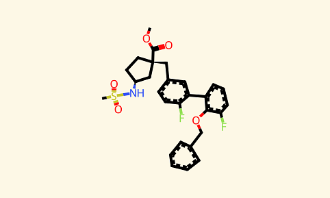 COC(=O)[C@@]1(Cc2ccc(F)c(-c3cccc(F)c3OCc3ccccc3)c2)CC[C@H](NS(C)(=O)=O)C1